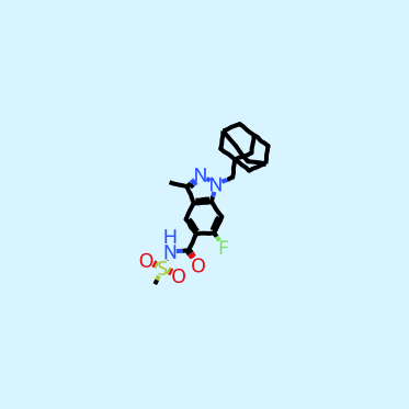 Cc1nn(CC23CC4CC(CC(C4)C2)C3)c2cc(F)c(C(=O)NS(C)(=O)=O)cc12